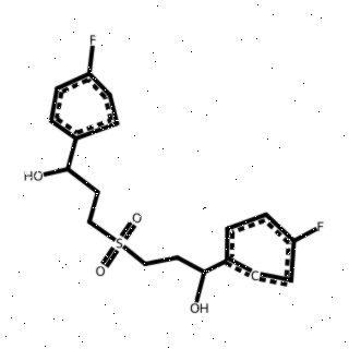 O=S(=O)(CCC(O)c1ccc(F)cc1)CCC(O)c1ccc(F)cc1